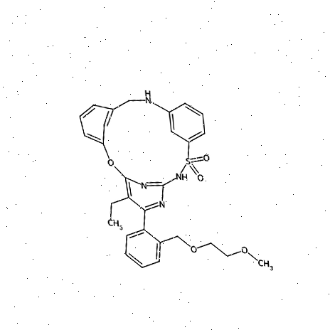 CCc1c2nc(nc1-c1ccccc1COCCOC)NS(=O)(=O)c1cccc(c1)NCc1cccc(c1)O2